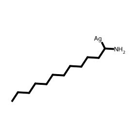 CCCCCCCCCCC[CH](N)[Ag]